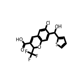 O=C(O)C1=Cc2cc(Cl)c(C(O)c3cccs3)cc2OC1C(F)(F)F